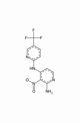 Nc1nccc(Nc2ccc(C(F)(F)F)cn2)c1[N+](=O)[O-]